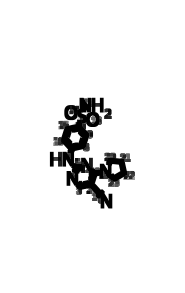 N#Cc1cnc(Nc2ccc(S(N)(=O)=O)cc2)nc1N1CCCC1